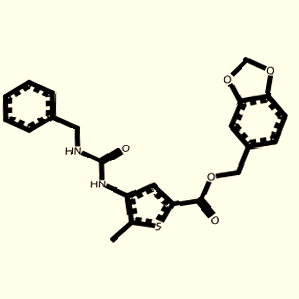 Cc1sc(C(=O)OCc2ccc3c(c2)OCO3)cc1NC(=O)NCc1ccccc1